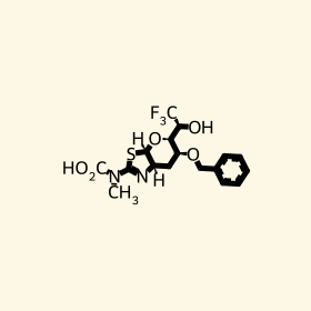 CN(C(=O)O)C1=N[C@@H]2C[C@H](OCc3ccccc3)[C@@H]([C@H](O)C(F)(F)F)O[C@@H]2S1